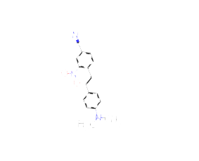 CN(C)c1ccc(C=Cc2ccc(C#N)cc2[N+](=O)[O-])cc1